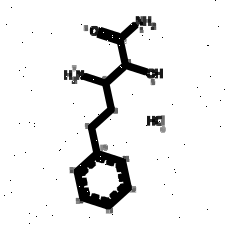 Cl.NC(=O)C(O)C(N)CCc1ccccc1